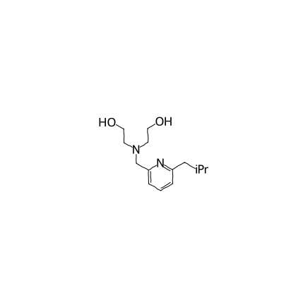 CC(C)Cc1cccc(CN(CCO)CCO)n1